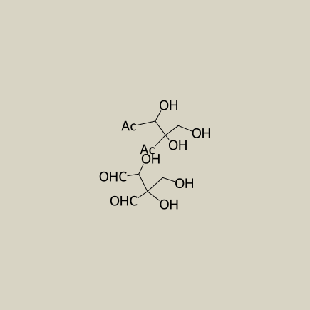 CC(=O)C(O)C(O)(CO)C(C)=O.O=CC(O)C(O)(C=O)CO